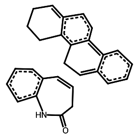 C1=c2ccc3c(c2CCC1)CC=c1ccccc1=3.O=C1CC=Cc2ccccc2N1